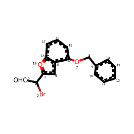 O=CC(Br)c1cc2c(OCc3ccccc3)cccc2o1